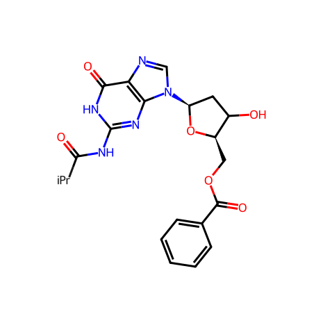 CC(C)C(=O)Nc1nc2c(ncn2[C@H]2CC(O)[C@@H](COC(=O)c3ccccc3)O2)c(=O)[nH]1